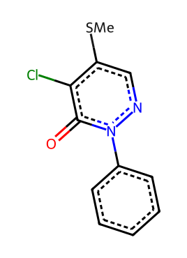 CSc1cnn(-c2ccccc2)c(=O)c1Cl